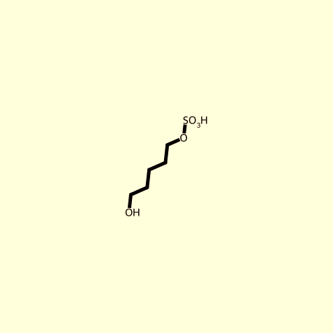 O=S(=O)(O)OCCCCCO